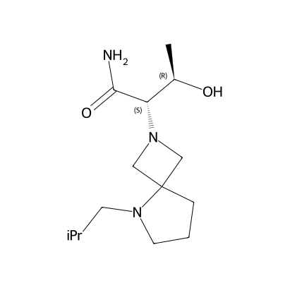 CC(C)CN1CCCC12CN([C@H](C(N)=O)[C@@H](C)O)C2